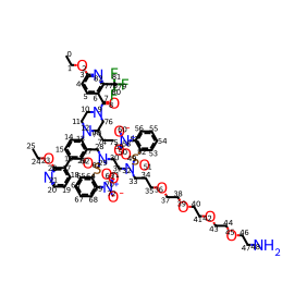 CCOc1ccc(C(=O)N2CCN(c3ccc(-c4cccnc4OCC)cc3CN(CCN(CCCOCCOCCOCCOCCN)S(=O)(=O)c3ccccc3[N+](=O)[O-])S(=O)(=O)c3ccccc3[N+](=O)[O-])[C@H](CC)C2)c(C(F)(F)F)n1